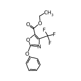 CCOC(=O)c1oc(Oc2ccccc2)nc1C(F)(F)F